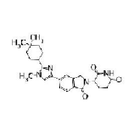 Cn1cc(-c2ccc3c(c2)CN(C2CCC(=O)NC2=O)C3=O)nc1C1CCC(C)(C)CC1